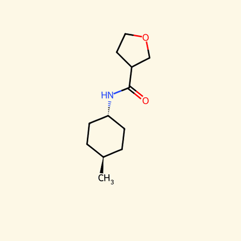 C[C@H]1CC[C@H](NC(=O)C2CCOC2)CC1